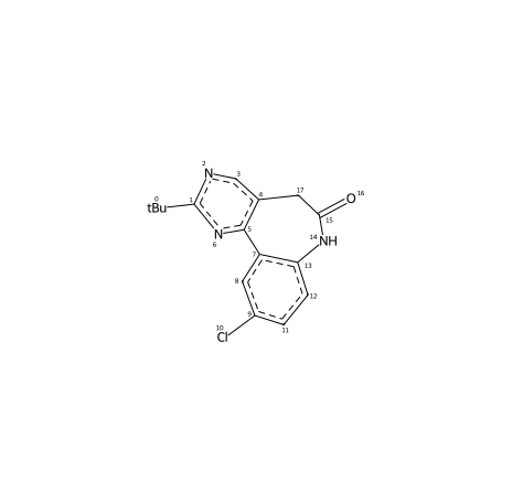 CC(C)(C)c1ncc2c(n1)-c1cc(Cl)ccc1NC(=O)C2